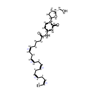 CC/C=C\C/C=C\C/C=C\C/C=C\C/C=C\CCCC(=O)Nc1ccn(C2CS[C@H](CO)O2)c(=O)n1